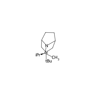 CC(C)[C@H](C)N1C2CCC1CN(C(C)(C)C)C2